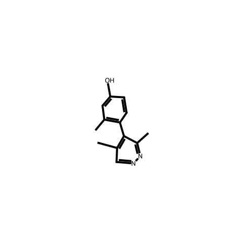 Cc1cc(O)ccc1-c1c(C)cnnc1C